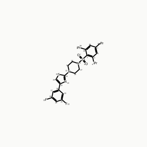 CC(C)c1cc(C(C)C)c(S(=O)(=O)N2CCN(c3nc(-c4cc(F)cc(F)c4)cs3)CC2)c(C(C)C)c1